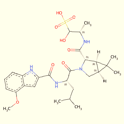 COc1cccc2[nH]c(C(=O)N[C@@H](CC(C)C)C(=O)N3C[C@H]4[C@@H]([C@H]3C(=O)N[C@@H](C)C(O)S(=O)(=O)O)C4(C)C)cc12